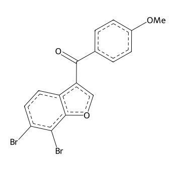 COc1ccc(C(=O)c2coc3c(Br)c(Br)ccc23)cc1